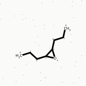 [CH2]CCC1OC1CCC